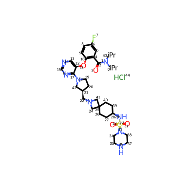 CC(C)N(C(=O)c1cc(F)ccc1Oc1cncnc1N1CC[C@@H](CN2CC3(CCC(NS(=O)(=O)N4CCNCC4)CC3)C2)C1)C(C)C.Cl